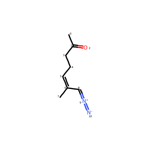 CC(=O)CCC=C(C)C=[N+]=[N-]